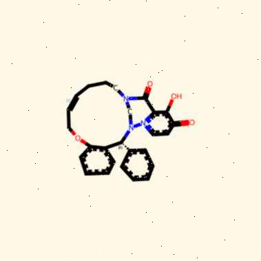 O=C1c2c(O)c(=O)ccn2N2CN1CCC/C=C\COc1ccccc1[C@H]2c1ccccc1